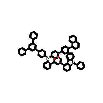 c1ccc(-c2cc(-c3ccccc3)cc(-c3ccc(N(c4ccc(-c5ccc(-c6cccc7ccccc67)cc5)cc4)c4ccccc4-c4cccc(-c5cccc6c5c5ccccc5n6-c5ccccc5)c4)cc3)c2)cc1